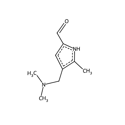 Cc1[nH]c(C=O)cc1CN(C)C